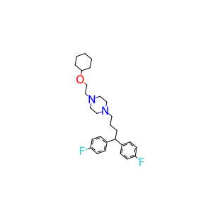 Fc1ccc(C(CCCN2CCN(CCOC3CCCCC3)CC2)c2ccc(F)cc2)cc1